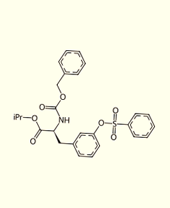 CC(C)OC(=O)[C@H](Cc1cccc(OS(=O)(=O)c2ccccc2)c1)NC(=O)OCc1ccccc1